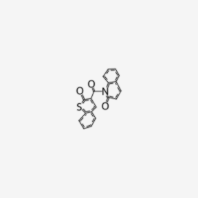 O=C(c1cc2ccccc2sc1=O)n1c(=O)ccc2ccccc21